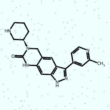 Cc1cc(-c2n[nH]c3cc4c(cc23)CN([C@@H]2CCCNC2)C(=O)N4)ccn1